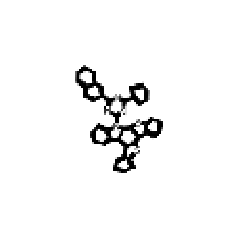 c1ccc(-c2nc(-c3ccc4ccccc4c3)nc(-n3c4ccccc4c4c5c6ccccc6sc5c5c6ccccc6sc5c43)n2)cc1